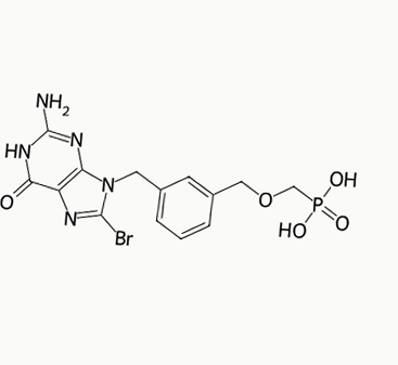 Nc1nc2c(nc(Br)n2Cc2cccc(COCP(=O)(O)O)c2)c(=O)[nH]1